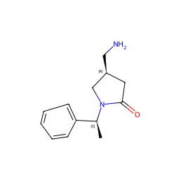 C[C@@H](c1ccccc1)N1C[C@@H](CN)CC1=O